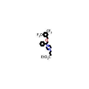 CCOC(=O)CCCN1CCN(C(COCc2cc(C(F)(F)F)cc(C(F)(F)F)c2)c2ccccc2)CC1